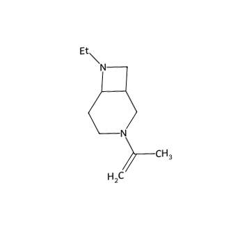 C=C(C)N1CCC2C(C1)CN2CC